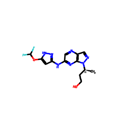 C[C@H](CCO)n1ncc2ncc(Nc3cc(OC(F)F)[nH]n3)nc21